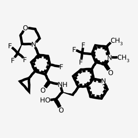 Cc1cc(C(F)(F)F)c(-c2ccc(C[C@H](NC(=O)c3c(F)cc(N4CCOC[C@@H]4C(F)(F)F)cc3C3CC3)C(=O)O)c3cccnc23)c(=O)n1C